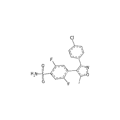 Cc1onc(-c2ccc(Cl)cc2)c1-c1cc(F)c(S(N)(=O)=O)cc1F